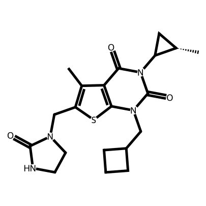 Cc1c(CN2CCNC2=O)sc2c1c(=O)n(C1C[C@@H]1C)c(=O)n2CC1CCC1